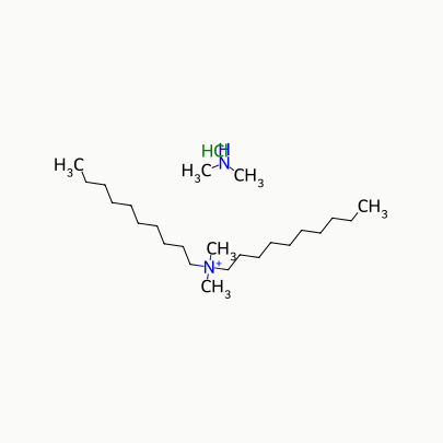 CCCCCCCCCC[N+](C)(C)CCCCCCCCCC.CNC.Cl